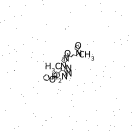 Cc1c(-c2ccc(Oc3ccccc3)cc2)c2c(N)ncnc2n1[C@@H]1CCN(C(=O)/C=C/CN(C)[C@H]2CCOC2)C1